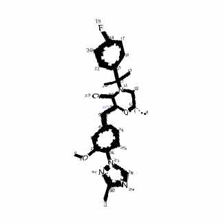 COc1cc(/C=C2\O[C@@H](C)CN(C(C)(C)c3ccc(F)cc3)C2=O)ccc1-n1cnc(C)n1